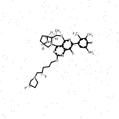 Cc1c(F)c(N)cc(-c2nc3c4c(nc(OCCC[C@H](F)CN5CC[C@H](F)C5)nc4c2F)N2C[C@H]4CC[C@H](N4)[C@H]2[C@H](C)O3)c1C(F)(F)F